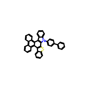 c1ccc(-c2ccc(-n3c4ccccc4c4c5c6ccccc6c6ccccc6c5c5c6ccccc6sc5c43)cc2)cc1